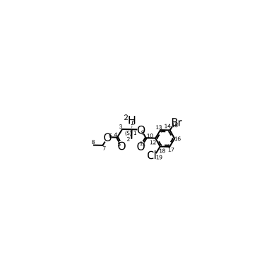 [2H][C@](C)(CC(=O)OCC)OC(=O)c1cc(Br)ccc1Cl